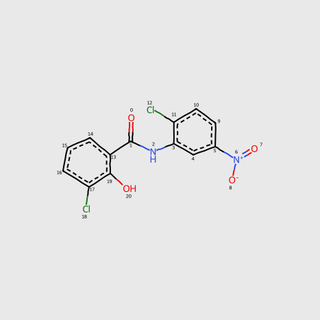 O=C(Nc1cc([N+](=O)[O-])ccc1Cl)c1cccc(Cl)c1O